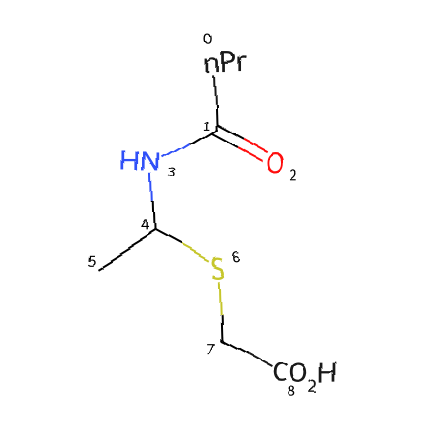 CCCC(=O)NC(C)SCC(=O)O